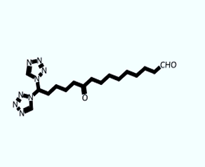 O=CCCCCCCCCC(=O)CCCCC(n1cnnn1)n1cnnn1